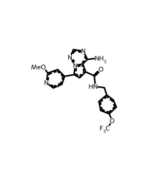 COc1cc(-c2cc(C(=O)NCc3ccc(OC(F)(F)F)cc3)c3c(N)ncnn23)ccn1